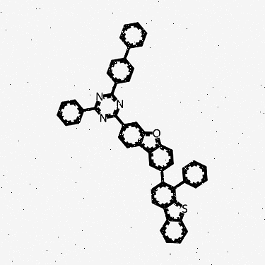 c1ccc(-c2ccc(-c3nc(-c4ccccc4)nc(-c4ccc5c(c4)oc4ccc(-c6ccc7c(sc8ccccc87)c6-c6ccccc6)cc45)n3)cc2)cc1